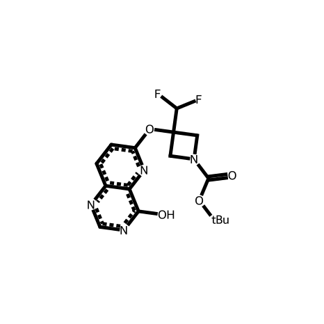 CC(C)(C)OC(=O)N1CC(Oc2ccc3ncnc(O)c3n2)(C(F)F)C1